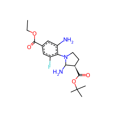 CCOC(=O)c1cc(N)c(N2CC[C@@H](C(=O)OC(C)(C)C)C2N)c(F)c1